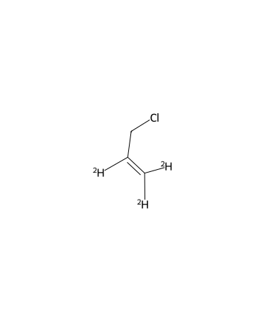 [2H]C([2H])=C([2H])CCl